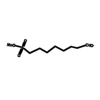 COS(=O)(=O)CCCCCCC[C]=O